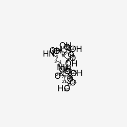 NCCCNO.O=C(O)CC(C(=O)O)S(=O)(=O)O.O=C(O)CC(C(=O)O)S(=O)(=O)O